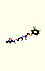 C=C(CCNC(=O)c1cc(C)no1)NC(=O)COc1ccc(Cl)c(Cl)c1